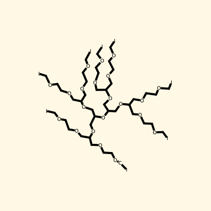 ICOCCOCC(COCCOCI)OCC(COC(COCCOCI)COCCOCI)OC(COC(COCCOCI)COCCOCI)COC(COCCOCI)COCCOCI